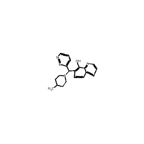 CC1CCN(C(c2cccnn2)c2ccc3cccnc3c2O)CC1